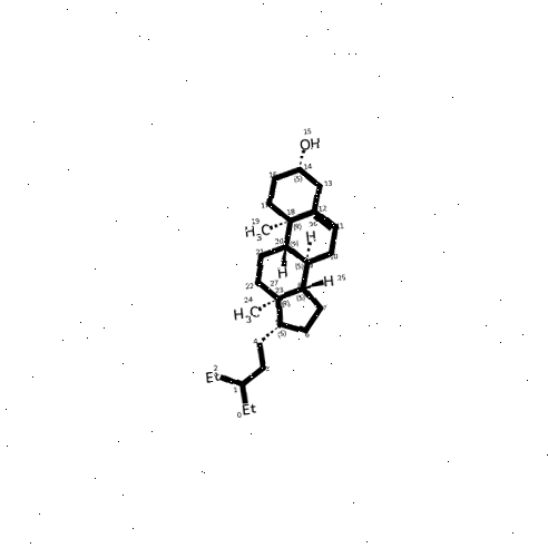 CCC(CC)CC[C@H]1CC[C@H]2[C@@H]3CC=C4C[C@@H](O)CC[C@]4(C)[C@H]3CC[C@]12C